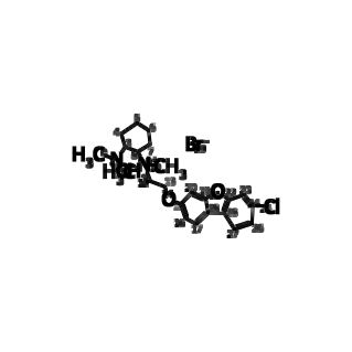 CN(C)C1CCCCC1[N+](C)(C)CCOc1ccc2c(c1)oc1cc(Cl)ccc12.[Br-]